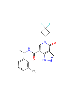 CC(NC(=O)c1cn(C2CC(F)(F)C2)c(=O)c2cn[nH]c12)c1cccc(C(F)(F)F)c1